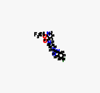 O=C(c1cccnc1OCC(F)(F)F)N1CC2CN(c3ncc4cc(F)ccc4n3)CC2C1